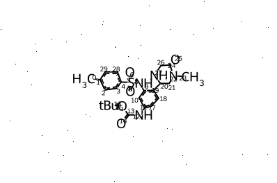 Cc1ccc(S(=O)(=O)Nc2cc(NC(=O)OC(C)(C)C)ccc2C2CN(C)C(=O)CN2)cc1